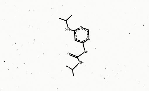 CC(C)NC(=O)Nc1cc(NC(C)C)ncn1